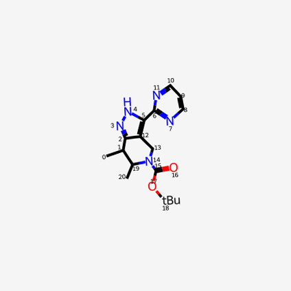 CC1c2n[nH]c(-c3ncccn3)c2CN(C(=O)OC(C)(C)C)C1C